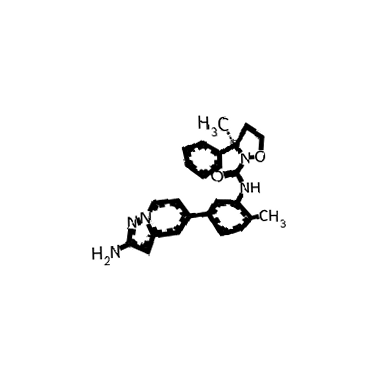 Cc1ccc(-c2ccn3nc(N)cc3c2)cc1NC(=O)N1OCC[C@]1(C)c1ccccc1